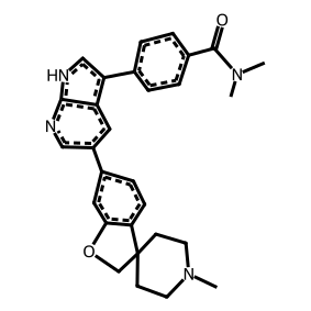 CN1CCC2(CC1)COc1cc(-c3cnc4[nH]cc(-c5ccc(C(=O)N(C)C)cc5)c4c3)ccc12